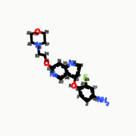 Nc1ccc(Oc2ccnc3cc(OCCN4CCOCC4)ncc23)c(F)c1